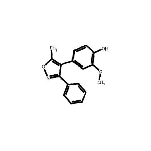 COc1cc(-c2c(-c3ccccc3)noc2C)ccc1O